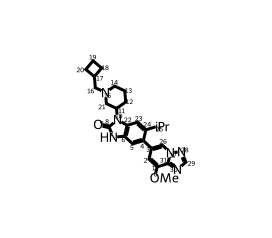 COc1cc(-c2cc3[nH]c(=O)n(C4CCCN(CC5CCC5)C4)c3cc2C(C)C)cn2ncnc12